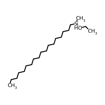 CCCCCCCCCCCCCCCCCC[SiH](C)OCC